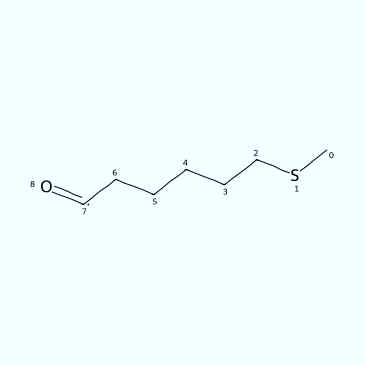 CSCCCCC[C]=O